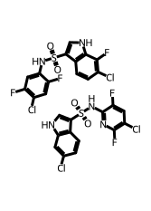 O=S(=O)(Nc1cc(F)c(Cl)cc1F)c1c[nH]c2c(F)c(Cl)ccc12.O=S(=O)(Nc1nc(F)c(Cl)cc1F)c1c[nH]c2cc(Cl)ccc12